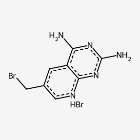 Br.Nc1nc(N)c2cc(CBr)cnc2n1